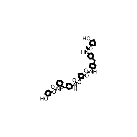 C=C(Nc1ccc(Cc2ccc(NC(=O)Oc3cccc(OC(=O)Nc4ccc(Cc5ccccc5NC(=O)Oc5cccc(O)c5)cc4)c3)cc2)cc1)Oc1cccc(O)c1